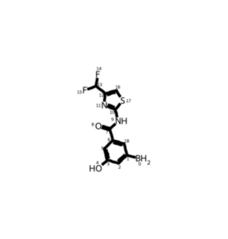 Bc1cc(O)cc(C(=O)Nc2nc(C(F)F)cs2)c1